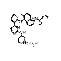 CCCC(=O)Nc1cccc2c(Oc3ncccc3-c3ccnc(NC4CCCN(C(=O)O)C4)n3)c(C)ccc12